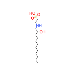 CCCCCCCCCCC(O)CNCCS(=O)(=O)O